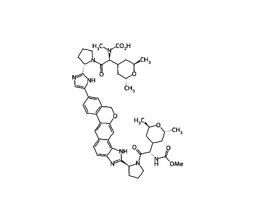 COC(=O)N[C@H](C(=O)N1CCC[C@H]1c1nc2ccc3cc4c(cc3c2[nH]1)OCc1cc(-c2cnc([C@@H]3CCCN3C(=O)[C@H](C3C[C@@H](C)O[C@H](C)C3)N(C)C(=O)O)[nH]2)ccc1-4)C1C[C@@H](C)O[C@H](C)C1